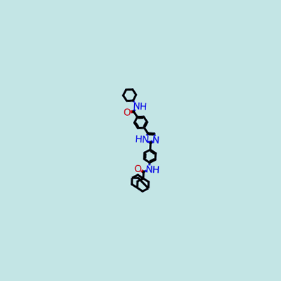 O=C(NC1CCCCC1)c1ccc(-c2cnc(-c3ccc(NC(=O)C45CC6CC(CC(C6)C4)C5)cc3)[nH]2)cc1